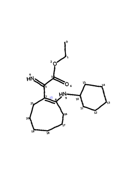 CCOC(=O)C(=N)/C1=C(\NC2CCCCC2)CCCCCC1